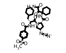 CS(=O)(=O)c1ccc(C(=O)N[C@H](CC2CCCCC2)C(=O)N2C[C@@H](N=[N+]=[N-])C[C@H]2C(=O)NC2(C(=O)C(N)=O)CCCCC2)cc1